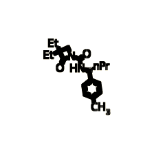 CCC[C@@H](NC(=O)N1CC(CC)(CC)C1=O)c1ccc(C)cc1